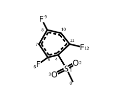 CS(=O)(=O)c1c(F)cc(F)cc1F